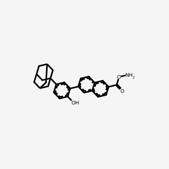 NOC(=O)c1ccc2cc(-c3cc(C45CC6CC(CC(C6)C4)C5)ccc3O)ccc2c1